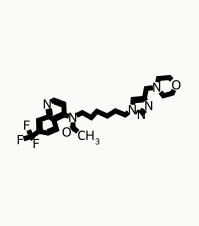 CC(=O)N(CCCCCCn1cc(CN2CCOCC2)nn1)c1ccnc2cc(C(F)(F)F)ccc12